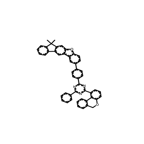 CC1(C)c2ccccc2-c2cc3c(cc21)oc1ccc(-c2ccc(-c4nc(-c5ccccc5)nc(-c5cccc6c5-c5ccccc5CO6)n4)cc2)cc13